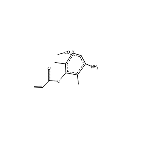 C=CC(=O)Oc1c(C)ccc(N)c1C.CC(=O)O